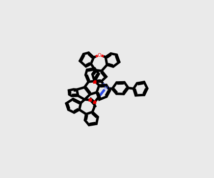 c1ccc(-c2ccc(N(c3ccc4c(c3)-c3ccccc3Oc3ccccc3-4)c3ccc4c(c3)C3(c5ccccc5-c5ccccc5-4)c4ccccc4-c4c3c3ccccc3c3ccccc43)cc2)cc1